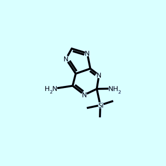 C[Si](C)(C)C1(N)N=C(N)C2=NC=NC2=N1